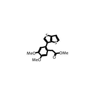 COC(=O)Cc1cc(OC)c(OC)cc1-c1csc2ccsc12